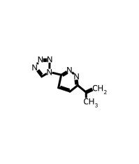 C=C(C)c1ccc(-n2cnnn2)nn1